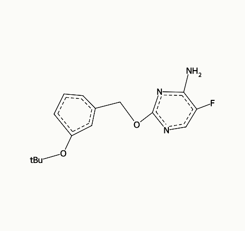 CC(C)(C)Oc1cccc(COc2ncc(F)c(N)n2)c1